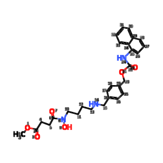 COC(=O)CCC(=O)N(O)CCCCNCc1ccc(COC(=O)Nc2cccc3ccccc23)cc1